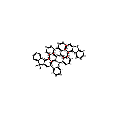 CC1(C)c2ccccc2-c2ccc(-c3ccccc3N(c3cccc(-c4cccc5sc6ccccc6c45)c3)c3ccccc3-c3cccc4cccc(-c5ccccc5)c34)cc21